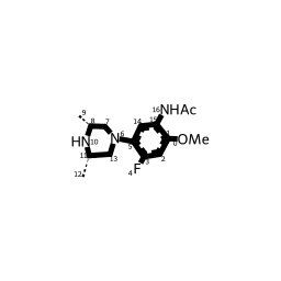 COc1cc(F)c(N2C[C@@H](C)N[C@@H](C)C2)cc1NC(C)=O